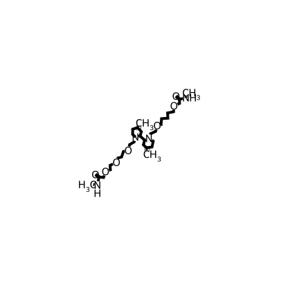 CNC(=O)COCCCCCOCCN1CC[C@@H](C)CC1C1C[C@@H](C)CCN1CCOCCCOCCOCC(=O)NC